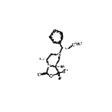 COC[C@@H](c1ccccc1)N1C[C@@H](C)N2C(=O)OC(C(C)C)(C(C)C)[C@@H]2C1